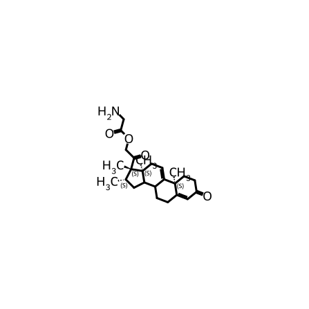 C[C@H]1CC2C3CCC4=CC(=O)CC[C@]4(C)C3=CC[C@]2(C)[C@@]1(C)C(=O)COC(=O)CN